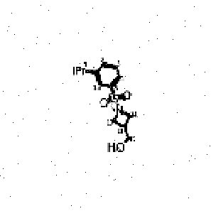 CC(C)c1cccc(S(=O)(=O)N2CC(CO)C2)c1